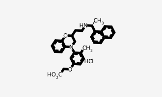 Cc1ccc(OCC(=O)O)cc1N1CC(CCN[C@H](C)c2cccc3ccccc23)Oc2ccccc21.Cl